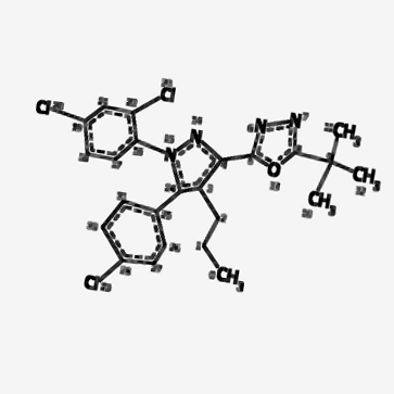 CCCc1c(-c2nnc(C(C)(C)C)o2)nn(-c2ccc(Cl)cc2Cl)c1-c1ccc(Cl)cc1